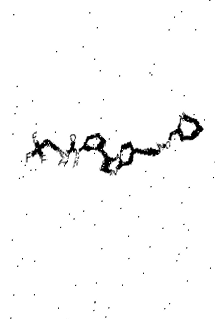 O=C(NCC(F)(F)F)Nc1cccc(-c2cnc3cc(/C=N/OCc4ccccn4)ccn23)c1